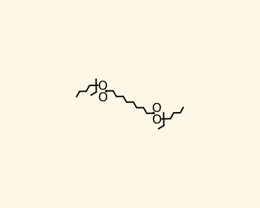 CCCCC(C)(CC)OC(=O)CCCCCCCCC(=O)OC(C)(CC)CCCC